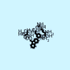 CC(C)C(NC(=O)OCC1c2ccccc2-c2ccccc21)C(=O)O.CC(O)Cc1ccc(N)cc1.NC(=O)NCCCC(N)C(=O)O